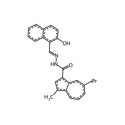 Cc1cc(C(=O)N/N=C/c2c(O)ccc3ccccc23)c2cc(C(C)C)cccc1-2